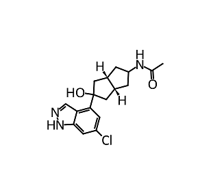 CC(=O)NC1C[C@@H]2CC(O)(c3cc(Cl)cc4[nH]ncc34)C[C@@H]2C1